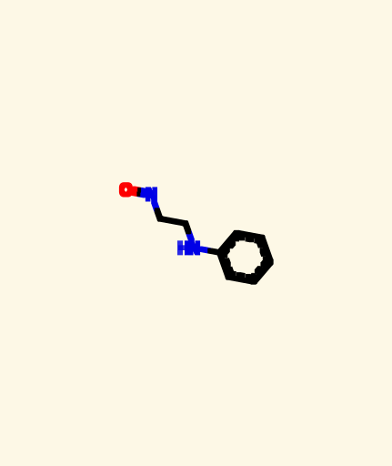 O=NCCNc1ccccc1